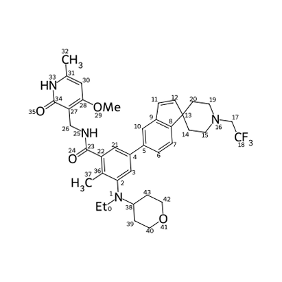 CCN(c1cc(-c2ccc3c(c2)C=CC32CCN(CC(F)(F)F)CC2)cc(C(=O)NCc2c(OC)cc(C)[nH]c2=O)c1C)C1CCOCC1